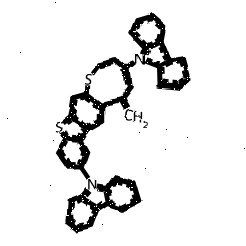 C=C1/C=C(/n2c3ccccc3c3ccccc32)C=CSc2cc3sc4ccc(-n5c6ccccc6c6ccccc65)cc4c3cc21